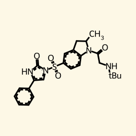 CC1Cc2cc(S(=O)(=O)n3cc(-c4ccccc4)[nH]c3=O)ccc2N1C(=O)CNC(C)(C)C